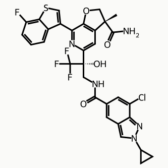 C[C@]1(C(N)=O)COc2c1cc([C@@](O)(CNC(=O)c1cc(Cl)c3nn(C4CC4)cc3c1)C(F)(F)F)nc2-c1csc2c(F)cccc12